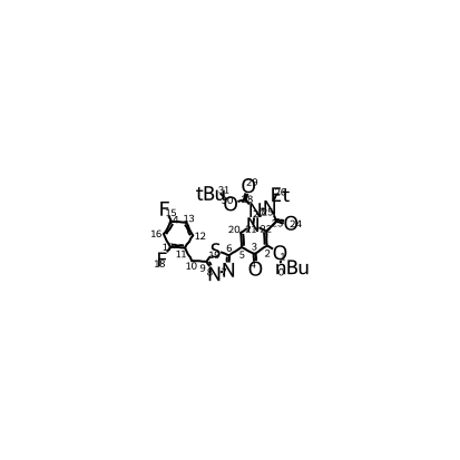 CCCCOc1c(=O)c(-c2nnc(Cc3ccc(F)cc3F)s2)cn2c1c(=O)n(CC)n2C(=O)OC(C)(C)C